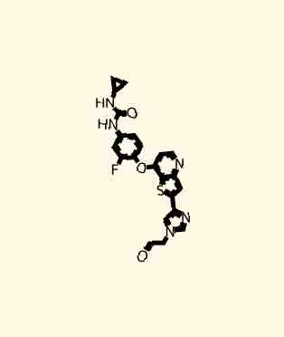 O=CCn1cnc(-c2cc3nccc(Oc4ccc(NC(=O)NC5CC5)cc4F)c3s2)c1